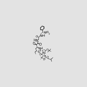 CCCCC(NC(=O)[C@@H]1C[C@@H](OC(C)(C)C)CN1C(=O)[C@@H](NC(=O)OCC(C)C)C(C)(C)C)C(=O)C(=O)NCC(=O)NC[C@@H](N)c1ccccc1